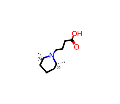 C[C@@H]1CCC[C@H](C)N1CCCC(=O)O